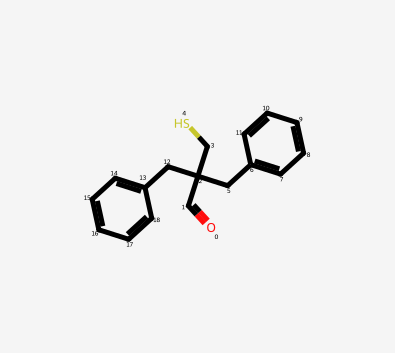 O=CC(CS)(Cc1ccccc1)Cc1ccccc1